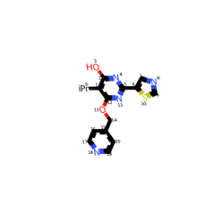 CC(C)c1c(O)nc(-c2cncs2)nc1OCc1ccncc1